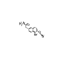 N#CCOc1ccc2cc(CC(N)=O)ccc2c1Br